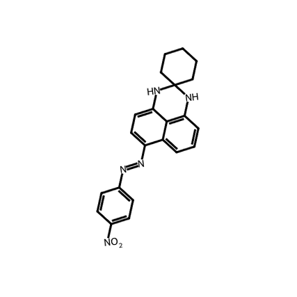 O=[N+]([O-])c1ccc(N=Nc2ccc3c4c(cccc24)NC2(CCCCC2)N3)cc1